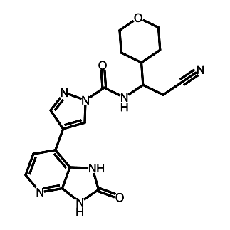 N#CCC(NC(=O)n1cc(-c2ccnc3[nH]c(=O)[nH]c23)cn1)C1CCOCC1